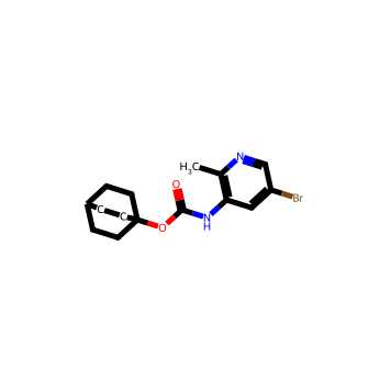 Cc1ncc(Br)cc1NC(=O)OC12CCC(CC1)CC2